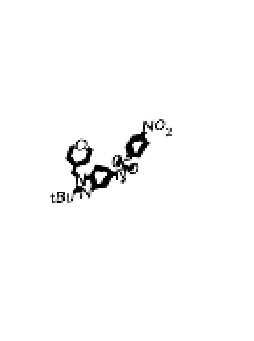 CN(c1ccc2c(c1)nc(C(C)(C)C)n2CC1CCOCC1)S(=O)(=O)c1ccc([N+](=O)[O-])cc1